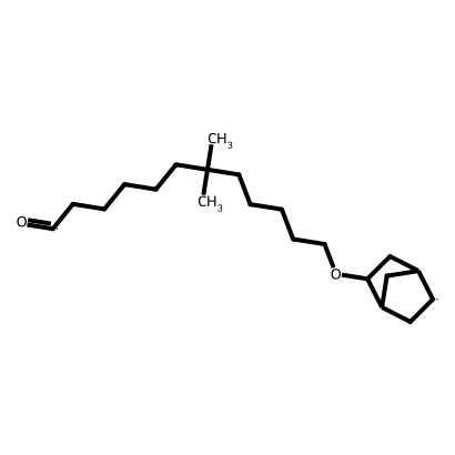 CC(C)(CCCCC[C]=O)CCCCCOC1CC2[CH]CC1C2